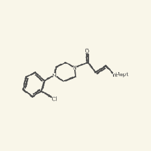 CCCCCCCC=CC(=O)N1CCN(c2ccccc2Cl)CC1